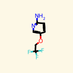 Nc1ccc(OCC(F)(F)F)cn1